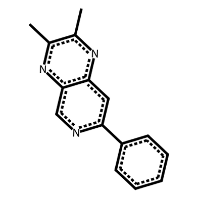 Cc1nc2cnc(-c3ccccc3)cc2nc1C